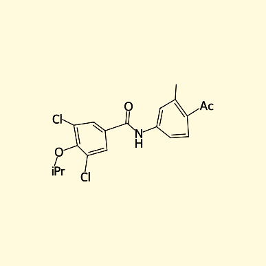 CC(=O)c1ccc(NC(=O)c2cc(Cl)c(OC(C)C)c(Cl)c2)cc1C